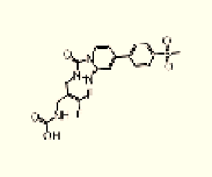 CS(=O)(=O)c1ccc(-c2ccn3c(=O)n(CC(CNC(=O)O)=C(F)F)nc3c2)cc1